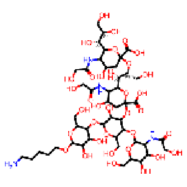 NCCCCCOC1OC(CO)C(OC2OC(CO)C(OC3OC(CO)C(O)C(O)C3NC(=O)CO)C(OC3(C(=O)O)CC(O)C(NC(=O)CO)C([C@H](O)[C@@H](CO)OC4(C(=O)O)CC(O)C(NC(=O)CO)C([C@H](O)[C@H](O)CO)O4)O3)C2O)C(O)C1O